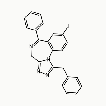 Ic1ccc2c(c1)C(c1ccccc1)=NCc1nnc(Cc3ccccc3)n1-2